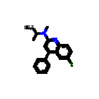 CC(C(=O)O)N(C)c1cc(-c2ccccc2)c2cc(Cl)ccc2n1